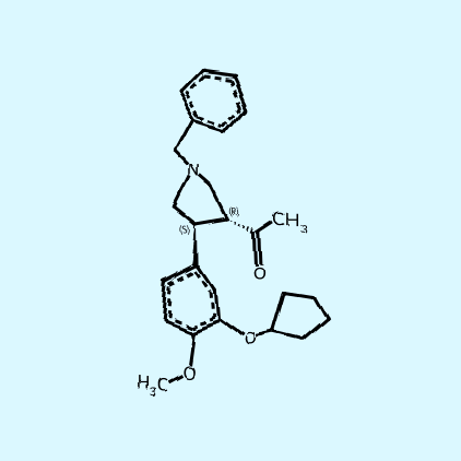 COc1ccc([C@H]2CN(Cc3ccccc3)C[C@@H]2C(C)=O)cc1OC1CCCC1